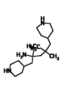 CC(C)(CC1CCNCC1)CC(C)(N)CC1CCNCC1